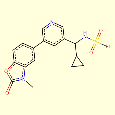 CCS(=O)(=O)NC(c1cncc(-c2ccc3oc(=O)n(C)c3c2)c1)C1CC1